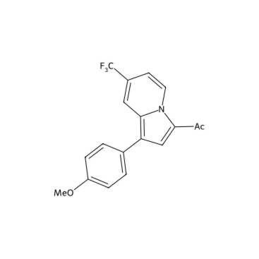 COc1ccc(-c2cc(C(C)=O)n3ccc(C(F)(F)F)cc23)cc1